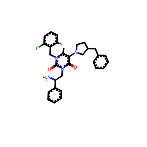 Cc1c(N2CCC(Cc3ccccc3)C2)c(=O)n(CC(N)c2ccccc2)c(=O)n1Cc1c(F)cccc1F